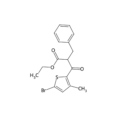 CCOC(=O)C(Cc1ccccc1)C(=O)c1sc(Br)cc1C